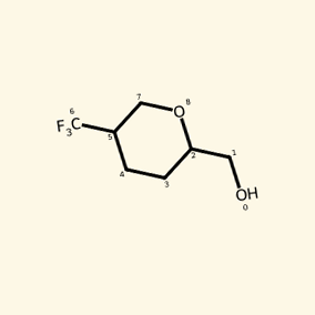 OCC1CCC(C(F)(F)F)CO1